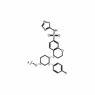 O=S(=O)(Nc1ncns1)c1ccc2c(c1)OCC[C@@H]2N1CC[C@@H](OC(F)(F)F)C[C@H]1c1ccc(F)cc1